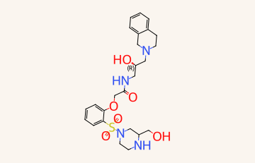 O=C(COc1ccccc1S(=O)(=O)N1CCNC(CO)C1)NC[C@@H](O)CN1CCc2ccccc2C1